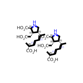 C/C(=C/C=C/[C@@H](C)C(=O)O)[C@H]1CN[C@H](C(=O)O)[C@H]1CC(=O)O.C/C(=C/C=C/[C@@H](C)C(=O)O)[C@H]1CN[C@H](C(=O)O)[C@H]1CC(=O)O